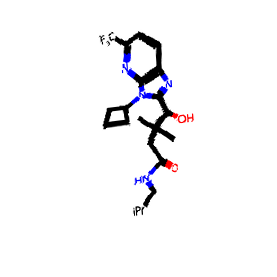 CC(C)CNC(=O)CC(C)(C)C(O)c1nc2ccc(C(F)(F)F)nc2n1C1CCC1